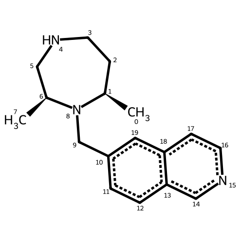 C[C@@H]1CCNC[C@H](C)N1Cc1ccc2cnccc2c1